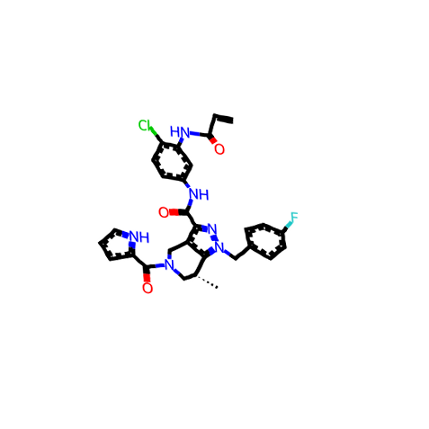 C=CC(=O)Nc1cc(NC(=O)c2nn(Cc3ccc(F)cc3)c3c2CN(C(=O)c2ccc[nH]2)C[C@H]3C)ccc1Cl